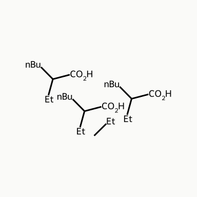 CCC.CCCCC(CC)C(=O)O.CCCCC(CC)C(=O)O.CCCCC(CC)C(=O)O